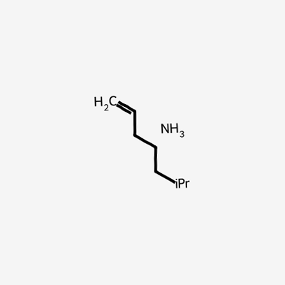 C=CCCCC(C)C.N